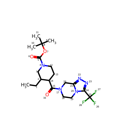 CCC1CN(C(=O)OC(C)(C)C)CCC1C(=O)N1CCn2c(nnc2C(F)(F)F)C1